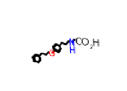 O=C(O)CNCCCc1ccc(OCCCc2ccccc2)cc1